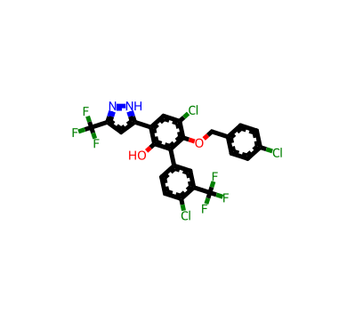 Oc1c(-c2cc(C(F)(F)F)n[nH]2)cc(Cl)c(OCc2ccc(Cl)cc2)c1-c1ccc(Cl)c(C(F)(F)F)c1